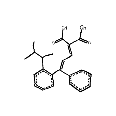 CC(C)C(C)c1ccccc1C(=CC=C(C(=O)O)C(=O)O)c1ccccc1